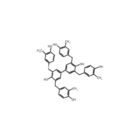 Cc1cc(Cc2cc(-c3cc(Cc4ccc(O)c(C)c4)c(O)c(Cc4ccc(O)c(C)c4)c3)cc(Cc3ccc(O)c(C)c3)c2O)ccc1O